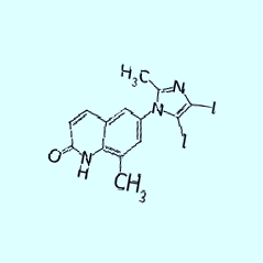 Cc1cc(-n2c(C)nc(I)c2I)cc2ccc(=O)[nH]c12